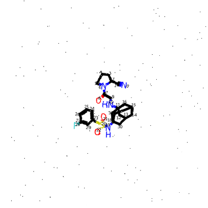 N#CC1CCCN1C(=O)CNC12CC3CC(C1)CC(NS(=O)(=O)c1cccc(F)c1)(C3)C2